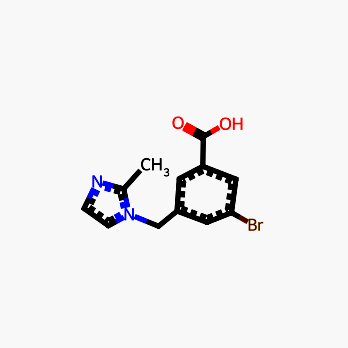 Cc1nccn1Cc1cc(Br)cc(C(=O)O)c1